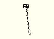 O=COCCOCCOCCOCCOC12CC3CC(CC(C3)C1)C2